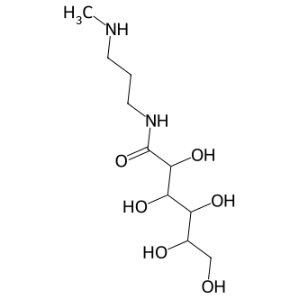 CNCCCNC(=O)C(O)C(O)C(O)C(O)CO